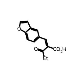 CCC(=O)C(=Cc1ccc2occc2c1)C(=O)O